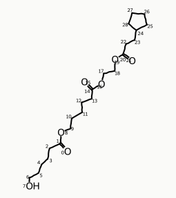 O=C(CCCCCO)OCCCCCC(=O)OCCOC(=O)CCC1CCCC1